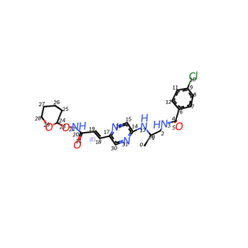 C[C@H](CNC(=O)c1ccc(Cl)cc1)Nc1cnc(/C=C/C(=O)NOC2CCCCO2)cn1